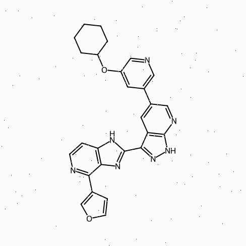 c1cc2[nH]c(-c3n[nH]c4ncc(-c5cncc(OC6CCCCC6)c5)cc34)nc2c(-c2ccoc2)n1